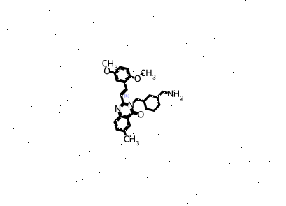 COc1ccc(OC)c(/C=C/c2nc3ccc(C)cc3c(=O)n2CC2CCCC(CN)C2)c1